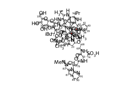 CC[C@H](C)C(OC(=O)N(C)[C@H](C(=O)N[C@H](C(=O)N(C)C[C@@H](CC(=O)N1CCC[C@H]1[C@H](OC)[C@@H](C)C(=O)N[C@H](C)[C@@H](O)c1ccccc1)OC)C(C)C)C(C)C)c1ccc(NC(=O)[C@H](C)NC(=O)[C@@H](NC(=O)CCOCCOCCNC(=O)[C@H](CS(=O)(=O)O)NC(=O)CCn2c(CN(C)NC)cc3cccnc32)C(C)C)c(O[C@H]2O[C@@H](CO)[C@H](O)[C@H](O)[C@H]2O)c1